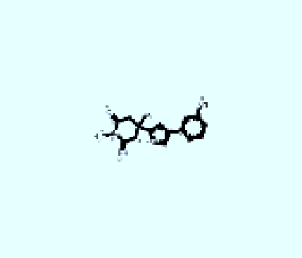 CC(C)C1(c2cc(-c3cccc(C#N)c3)cs2)CC(=N)N(C)C(=O)C1